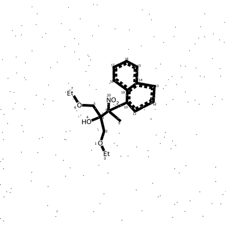 CCOCC(O)(COCC)C(C)(c1cccc2ccccc12)[N+](=O)[O-]